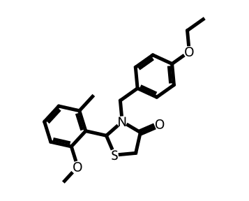 CCOc1ccc(CN2C(=O)CSC2c2c(C)cccc2OC)cc1